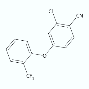 N#Cc1ccc(Oc2ccccc2C(F)(F)F)cc1Cl